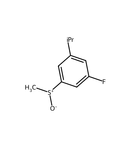 CC(C)c1cc(F)cc([S+](C)[O-])c1